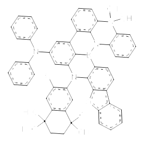 Cc1cc2c(cc1N1c3cc(N(c4ccccc4)c4ccccc4)cc4c3B(c3ccc5c(oc6ccccc65)c31)N1c3ccccc3S(C)(C)c3cccc-4c31)C(C)(C)CCC2(C)C